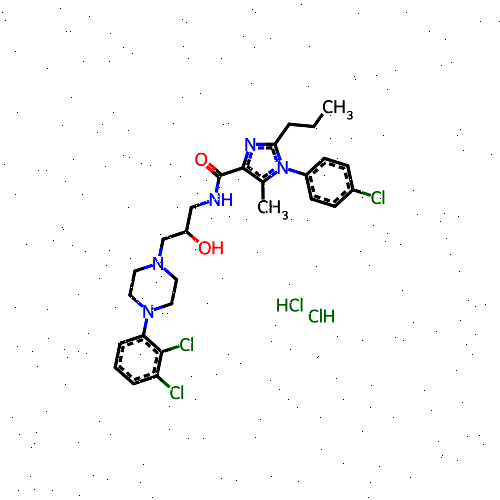 CCCc1nc(C(=O)NCC(O)CN2CCN(c3cccc(Cl)c3Cl)CC2)c(C)n1-c1ccc(Cl)cc1.Cl.Cl